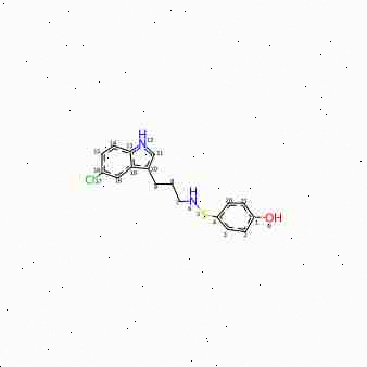 Oc1ccc(SNCCCc2c[nH]c3ccc(Cl)cc23)cc1